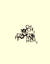 CC(C)c1cnn(-c2nc(C(F)(F)F)ccc2C(=O)Nc2nnnn2C)c1